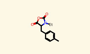 CCN1C(=O)OC(=O)C1Cc1ccc(C)cc1